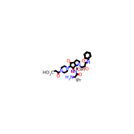 CC(C)[C@H](N)C(=O)NC(=O)[C@]12C(=O)C(N3CCN(C(=O)CC(=O)O)CC3)C(=O)C1CCN2[C@H](C(=O)c1nc2ccccc2o1)C(C)C